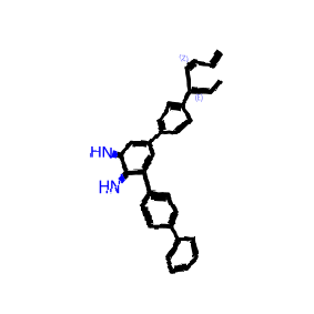 C=C/C=C\C(=C/C)c1ccc(C2=CC(=N)C(=N)C(c3ccc(-c4ccccc4)cc3)=C2)cc1